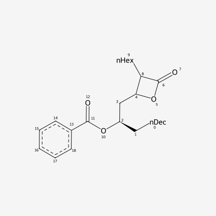 CCCCCCCCCCC[C@H](CC1OC(=O)C1CCCCCC)OC(=O)c1ccccc1